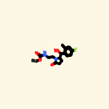 Cc1cc(F)ccc1C(O)C1CCC(=O)N1CCNC(=O)OC(C)(C)C